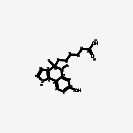 CN1c2cc(O)ccc2-c2sccc2C1(C)CCCCCC(=O)O